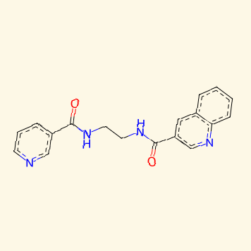 O=C(NCCNC(=O)c1cnc2ccccc2c1)c1cccnc1